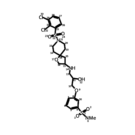 CNS(=O)(=O)c1cccc(OCC(O)CNC2COC3(CCN(S(=O)(=O)c4cccc(Cl)c4Cl)CC3)C2)c1